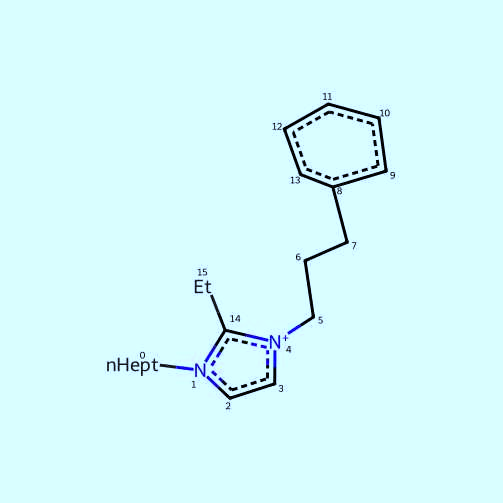 CCCCCCCn1cc[n+](CCCc2ccccc2)c1CC